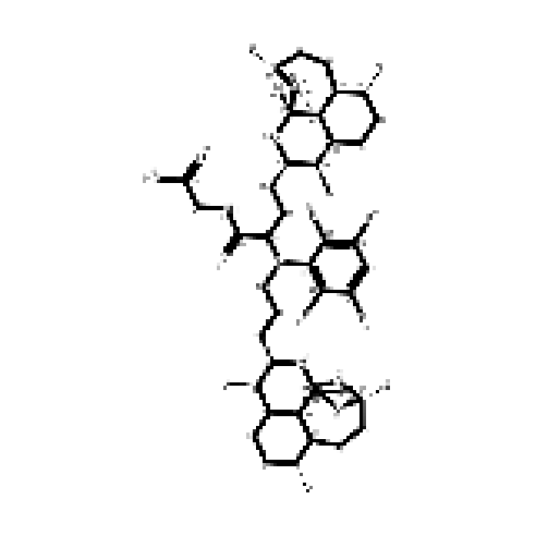 C[C@@H]1CCC2[C@@H](C)[C@@H](CCCN(c3c(F)c(F)cc(F)c3F)C(CC[C@H]3O[C@@H]4O[C@]5(C)CCC6[C@H](C)CCC([C@H]3C)[C@]64OO5)C(=O)NCC(=O)O)O[C@@H]3O[C@]4(C)CCC1[C@@]23OO4